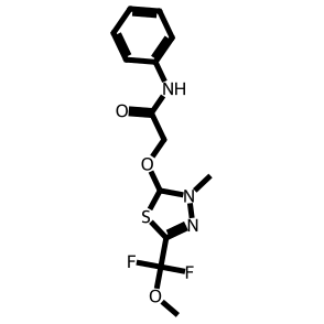 COC(F)(F)C1=NN(C)C(OCC(=O)Nc2ccccc2)S1